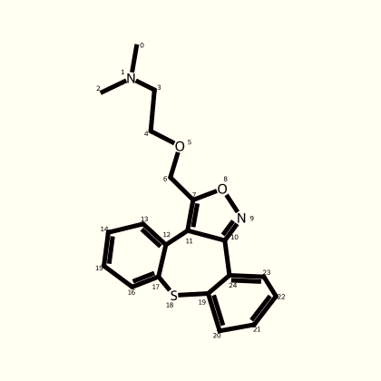 CN(C)CCOCc1onc2c1-c1ccccc1Sc1ccccc1-2